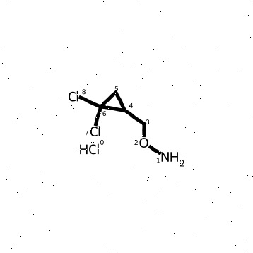 Cl.NOCC1CC1(Cl)Cl